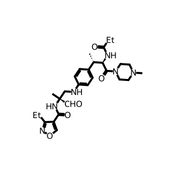 CCC(=O)N[C@@H](C(=O)N1CCN(C)CC1)[C@@H](C)c1ccc(NC[C@](C)(C=O)NC(=O)c2conc2CC)cc1